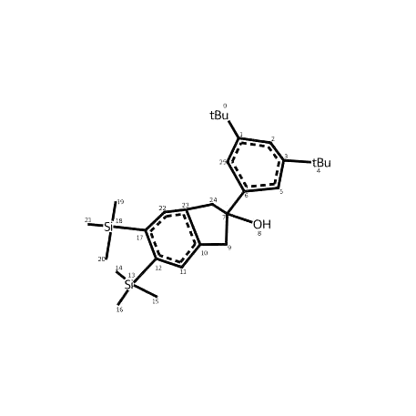 CC(C)(C)c1cc(C(C)(C)C)cc(C2(O)Cc3cc([Si](C)(C)C)c([Si](C)(C)C)cc3C2)c1